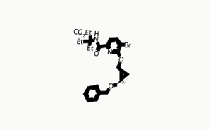 CCOC(=O)C(CC)(CC)NC(=O)c1ccc(Br)c(OCC2C[C@@H]2COCc2ccccc2)n1